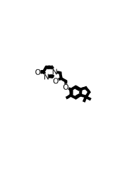 Cc1cc2c(cc1OCC1Cn3ccc(=O)nc3O1)CCC2(C)C